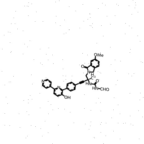 COc1ccc2c(c1)C(=O)N(C[C@@](C)(C#Cc1ccc(-c3nc(-c4ccncc4)ccc3O)cc1)NC(=O)NC=O)C2